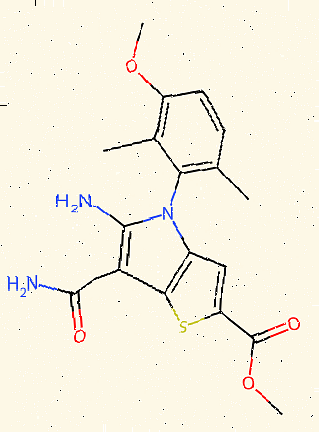 COC(=O)c1cc2c(s1)c(C(N)=O)c(N)n2-c1c(C)ccc(OC)c1C